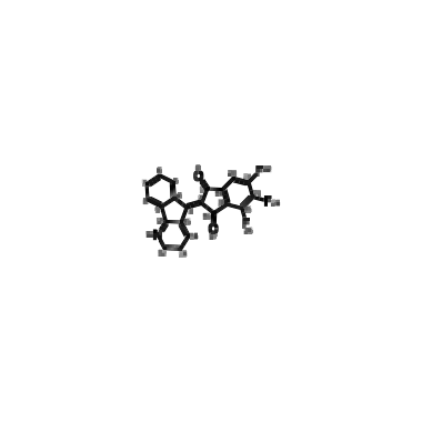 O=C1/C(=C2\c3ccccc3-c3ncccc32)C(=O)c2c1cc(F)c(F)c2F